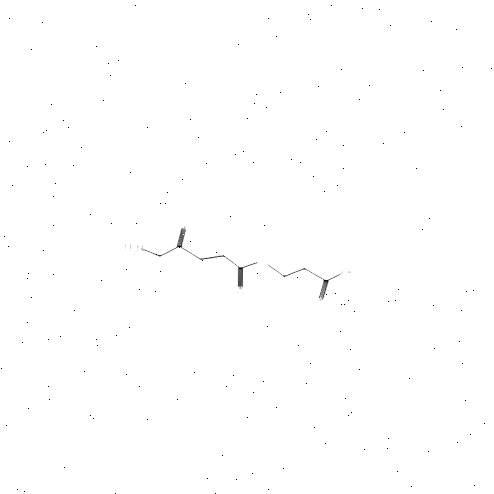 NCC(=O)CCC(=O)OCCC(=O)O